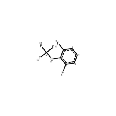 Fc1c[c]cc(F)c1OC(F)(F)F